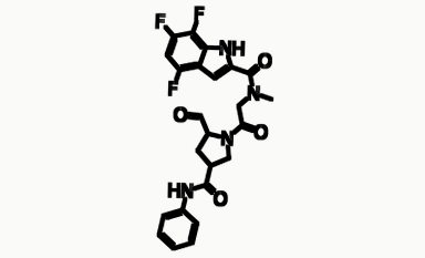 CN(CC(=O)N1CC(C(=O)Nc2ccccc2)CC1C=O)C(=O)c1cc2c(F)cc(F)c(F)c2[nH]1